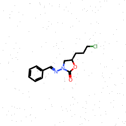 O=C1OC(CCCCl)CN1N=Cc1ccccc1